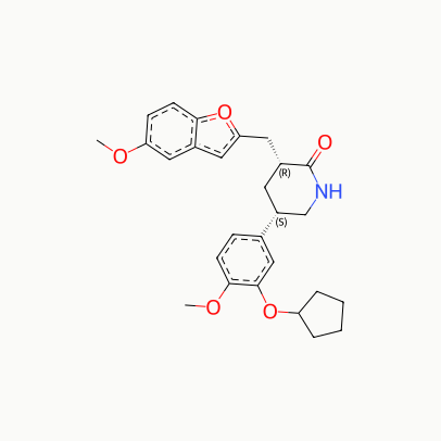 COc1ccc2oc(C[C@H]3C[C@@H](c4ccc(OC)c(OC5CCCC5)c4)CNC3=O)cc2c1